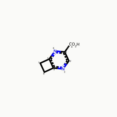 O=C(O)c1cnc2c(n1)CC2